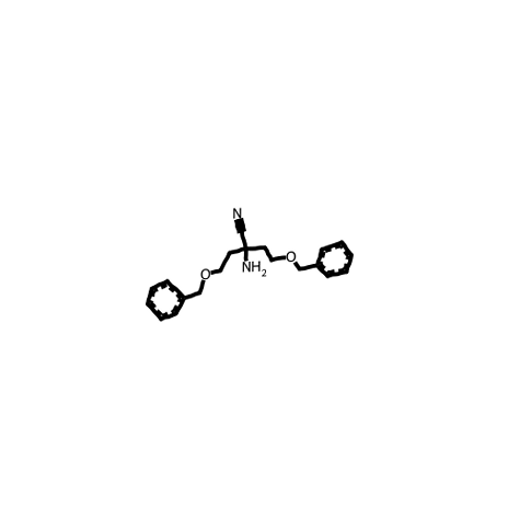 N#CC(N)(CCOCc1ccccc1)CCOCc1ccccc1